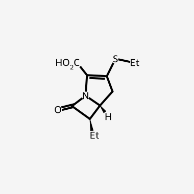 CCSC1=C(C(=O)O)N2C(=O)[C@H](CC)[C@H]2C1